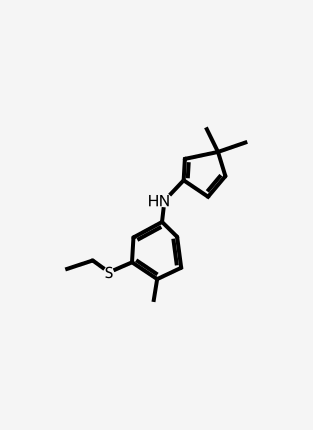 CCSc1cc(NC2=CC(C)(C)C=C2)ccc1C